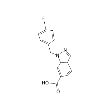 O=C(O)C1=CC2C(C=C1)C=NN2Cc1ccc(F)cc1